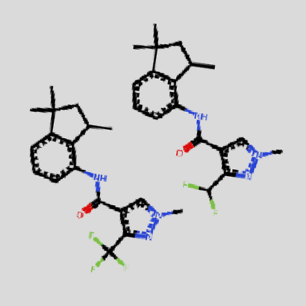 CC1CC(C)(C)c2cccc(NC(=O)c3cn(C)nc3C(F)(F)F)c21.CC1CC(C)(C)c2cccc(NC(=O)c3cn(C)nc3C(F)F)c21